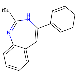 CC(C)(C)C1=Nc2ccccc2C=C(C2=CCCC=C2)N1